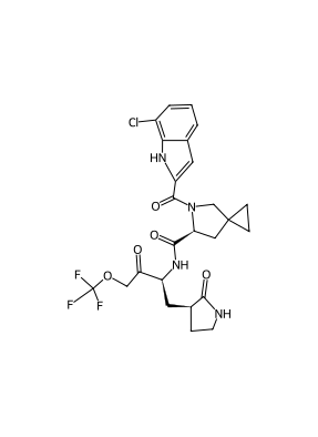 O=C1NCC[C@H]1C[C@H](NC(=O)[C@@H]1CC2(CC2)CN1C(=O)c1cc2cccc(Cl)c2[nH]1)C(=O)COC(F)(F)F